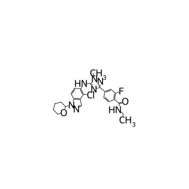 CCNC(=O)c1ccc(-c2nc(Nc3ccc4c(cnn4C4CCCCO4)c3Cl)n(C)n2)cc1F